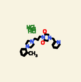 Cc1ccccc1N1CCN(CCCN2C(=O)CN(Cc3ccccn3)CC2=O)CC1.Cl.Cl.Cl